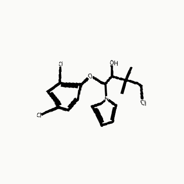 CC(C)(CCl)C(O)C(Oc1ccc(Cl)cc1Cl)n1cccc1